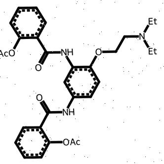 CCN(CC)CCOc1ccc(NC(=O)c2ccccc2OC(C)=O)cc1NC(=O)c1ccccc1OC(C)=O